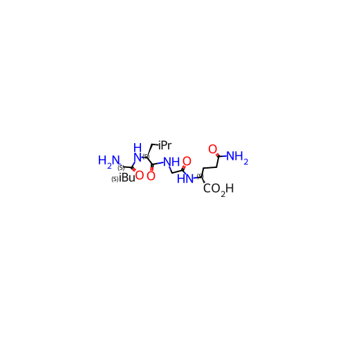 CC[C@H](C)[C@H](N)C(=O)N[C@@H](CC(C)C)C(=O)NCC(=O)N[C@@H](CCC(N)=O)C(=O)O